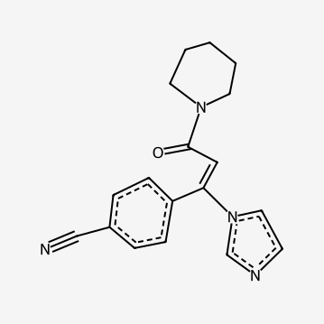 N#Cc1ccc(/C(=C\C(=O)N2CCCCC2)n2ccnc2)cc1